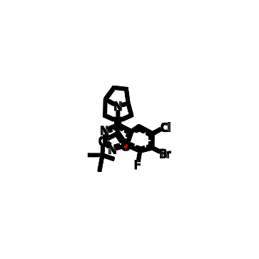 CC(C)(C)OC(=O)N1CC2CCC(C1)N2c1ncnc2c(F)c(Br)c(Cl)cc12